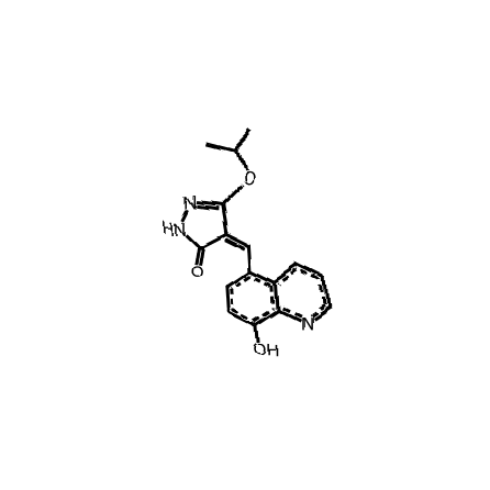 CC(C)OC1=NNC(=O)/C1=C\c1ccc(O)c2ncccc12